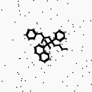 [CH2]C(C)(c1cccc2ccccc12)C(CCCC)(CC(C)Cc1ccccc1)c1ccccc1